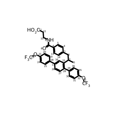 CC(Cc1ccc(C(=O)NCCC(=O)O)cc1)c1cc(-c2ccc(OC(F)(F)F)cc2)ccc1-c1ccc(OC(F)(F)F)cc1